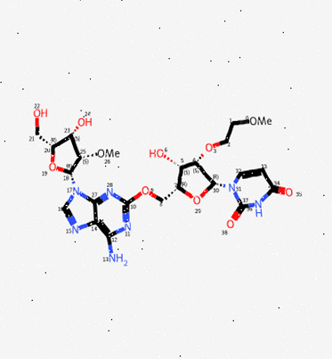 COCCO[C@H]1[C@@H](O)[C@@H](COc2nc(N)c3ncn([C@@H]4O[C@H](CO)[C@H](O)[C@@H]4OC)c3n2)O[C@H]1n1ccc(=O)[nH]c1=O